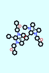 c1ccc(-c2cc3c4c(c2)N(c2ccc5oc6ccccc6c5c2)c2cccc(-c5ccc(-c6cc7c8c(c6)N(c6ccc9c(c6)oc6ccccc69)c6ccccc6B8c6ccccc6N7c6ccccc6)cc5)c2B4c2ccccc2N3c2ccc3c(c2)oc2ccccc23)cc1